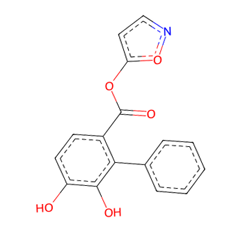 O=C(Oc1ccno1)c1ccc(O)c(O)c1-c1ccccc1